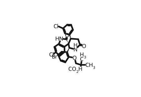 CC(C)(COc1ccc(Br)cc1[C@@H]1NC(=O)C[C@H](c2cccc(Cl)c2)[C@@]12C(=O)Nc1cc(Cl)ccc12)C(=O)O